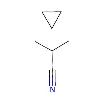 C1CC1.CC(C)C#N